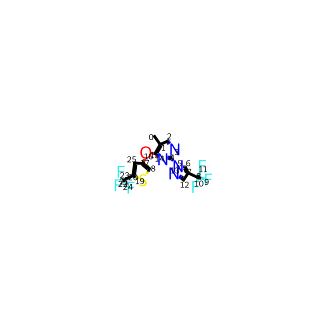 Cc1cnc(-n2cc(C(F)(F)F)cn2)nc1Oc1csc(C(F)(F)F)c1